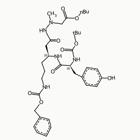 CCCCOC(=O)CN(C)NC(=O)C[C@H](CCCNC(=O)OCc1ccccc1)NC(=O)[C@H](Cc1ccc(O)cc1)NC(=O)OC(C)(C)C